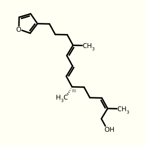 CC(=CCC[C@H](C)C=CC=C(C)CCCc1ccoc1)CO